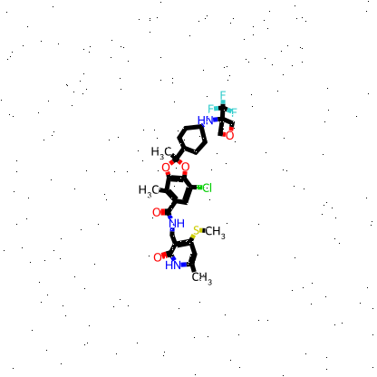 CSc1cc(C)[nH]c(=O)c1CNC(=O)c1cc(Cl)c2c(c1C)OC(C)(C1CCC(NC3(C(F)(F)F)COC3)CC1)O2